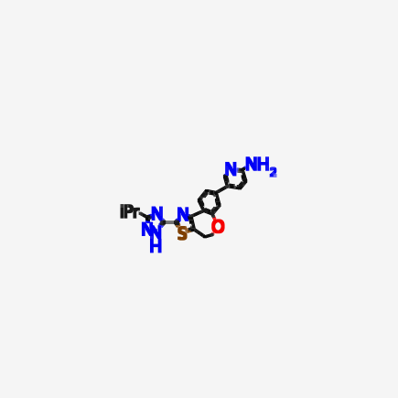 CC(C)c1n[nH]c(-c2nc3c(s2)CCOc2cc(-c4ccc(N)nc4)ccc2-3)n1